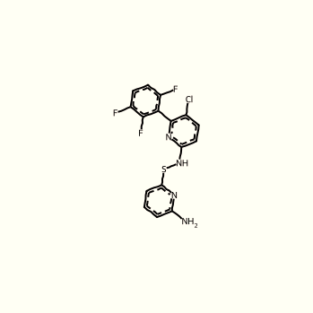 Nc1cccc(SNc2ccc(Cl)c(-c3c(F)ccc(F)c3F)n2)n1